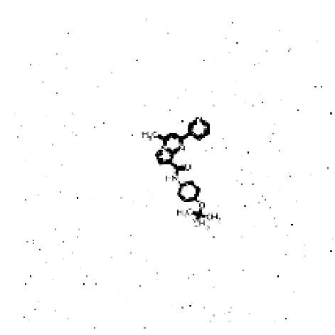 Cc1cc(-c2cccnc2)nc2c(C(=O)N[C@H]3CC[C@H](OC(C)(C)C)CC3)ccn12